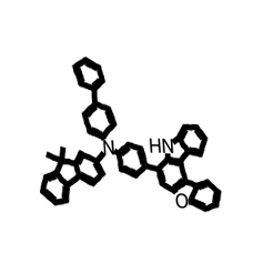 CC1(C)c2ccccc2-c2ccc(N(c3ccc(-c4ccccc4)cc3)c3ccc(-c4cc5oc6ccccc6c5c5c4[nH]c4ccccc45)cc3)cc21